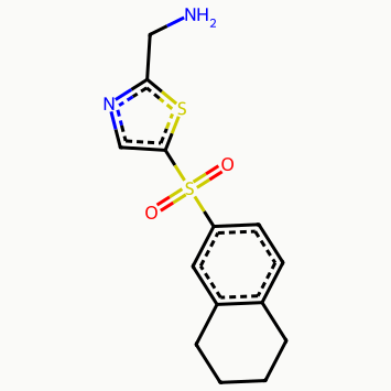 NCc1ncc(S(=O)(=O)c2ccc3c(c2)CCCC3)s1